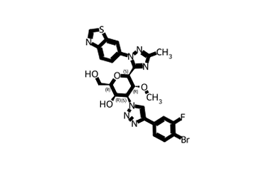 CO[C@@H]1[C@@H](n2cc(-c3ccc(Br)c(F)c3)nn2)[C@@H](O)[C@@H](CO)O[C@H]1c1nc(C)nn1-c1ccc2ncsc2c1